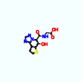 O=C(O)CNC(=O)c1c(O)c2sccc2c2ncnn12